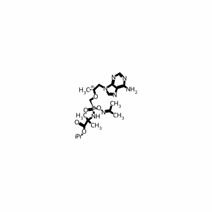 CC(C)=NO[P@](=O)(CO[C@H](C)Cn1cnc2c(N)ncnc21)NC(C)(C)C(=O)OC(C)C